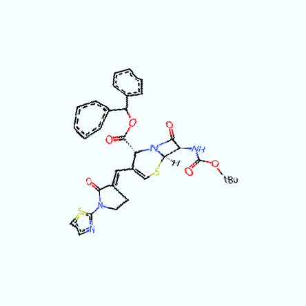 CC(C)(C)OC(=O)N[C@@H]1C(=O)N2[C@@H](C(=O)OC(c3ccccc3)c3ccccc3)C(/C=C3\CCN(c4nccs4)C3=O)=CS[C@H]12